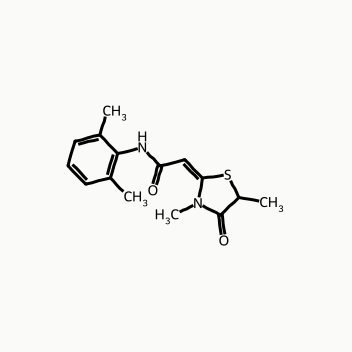 Cc1cccc(C)c1NC(=O)C=C1SC(C)C(=O)N1C